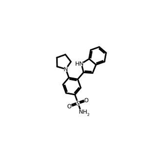 NS(=O)(=O)c1ccc(N2CCCC2)c(-c2cc3ccccc3[nH]2)c1